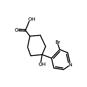 O=C(O)C1CCC(O)(c2ccncc2Br)CC1